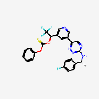 C[C@@H](Nc1ncc(-c2cncc(C(OC(=S)Oc3ccccc3)C(F)(F)F)c2)nn1)c1ccc(F)cc1